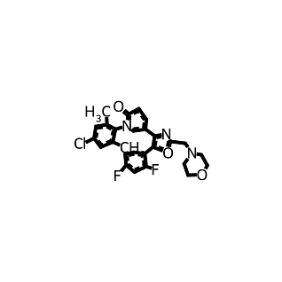 Cc1cc(Cl)cc(C)c1-n1cc(-c2nc(CN3CCOCC3)oc2-c2ccc(F)cc2F)ccc1=O